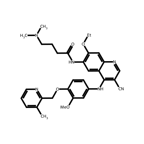 CCOc1cc2ncc(C#N)c(Nc3ccc(OCc4ncccc4C)c(OC)c3)c2cc1NC(=O)CCCN(C)C